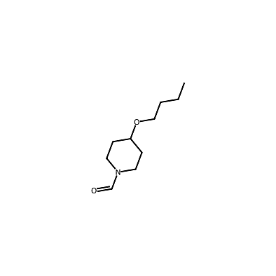 CCCCOC1CCN(C=O)CC1